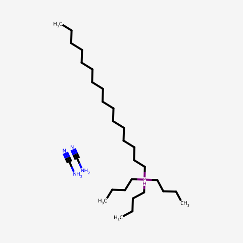 CCCCCCCCCCCCCCCC[PH](CCCC)(CCCC)CCCC.N#CN.N#CN